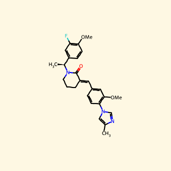 COc1ccc([C@H](C)N2CCCC(=Cc3ccc(-n4cnc(C)c4)c(OC)c3)C2=O)cc1F